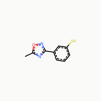 Cc1nc(-c2cccc(S)c2)no1